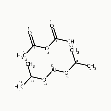 CC(=O)OC(C)=O.CC(C)[O][Al][O]C(C)C